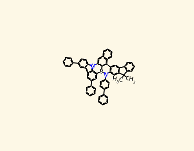 CC1(C)c2ccccc2-c2cc3c(cc21)N(c1ccc(-c2ccccc2)cc1)B1c2c(cc4ccccc4c2-3)-n2c3ccc(-c4ccccc4)cc3c3cc(-c4ccccc4)cc1c32